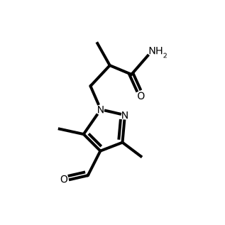 Cc1nn(CC(C)C(N)=O)c(C)c1C=O